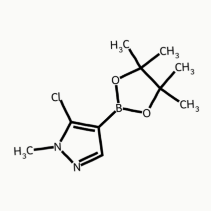 Cn1ncc(B2OC(C)(C)C(C)(C)O2)c1Cl